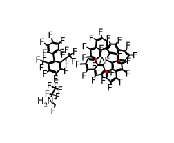 FC[NH2+]C(F)(F)C(F)(F)F.Fc1c(F)c(F)c(-c2c(C(F)(F)F)c(F)c(F)c(F)c2C(F)(F)C(F)(F)F)c(F)c1F.Fc1ccc2[c]([Al-]([c]3c(F)c(F)c(F)c4c(F)c(F)ccc34)([c]3c(F)c(F)c(F)c4c(F)c(F)ccc34)[c]3c(F)c(F)c(F)c4c(F)c(F)ccc34)c(F)c(F)c(F)c2c1F